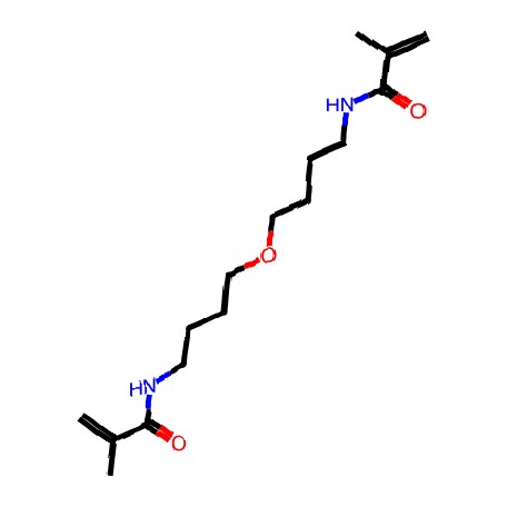 C=C(C)C(=O)NCCCCOCCCCNC(=O)C(=C)C